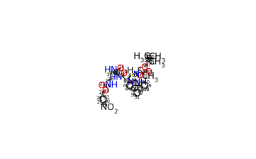 CC(C)(ON=S1C=C(CC(=O)N[C@@H]2C(=O)N[C@@H]2SCCNC(=O)OCc2ccc([N+](=O)[O-])cc2)N=C1NC(c1ccccc1)(c1ccccc1)c1ccccc1)C(=O)OCC[Si](C)(C)C